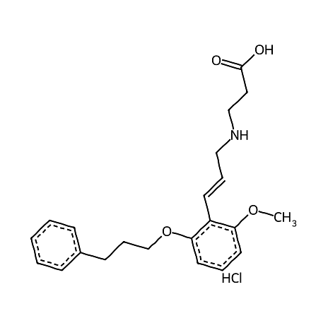 COc1cccc(OCCCc2ccccc2)c1/C=C/CNCCC(=O)O.Cl